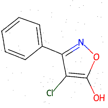 Oc1onc(-c2ccccc2)c1Cl